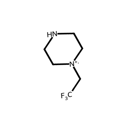 FC(F)(F)C[N+]1CCNCC1